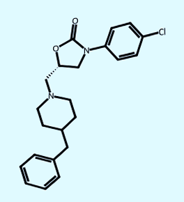 O=C1O[C@@H](CN2CCC(Cc3ccccc3)CC2)CN1c1ccc(Cl)cc1